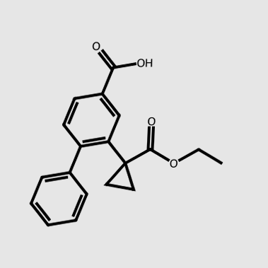 CCOC(=O)C1(c2cc(C(=O)O)ccc2-c2ccccc2)CC1